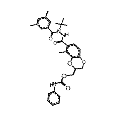 Cc1cc(C)cc(C(=O)N(NC(=O)c2ccc3c(c2C)OC(COC(=O)Nc2ccccc2)CO3)C(C)(C)C)c1